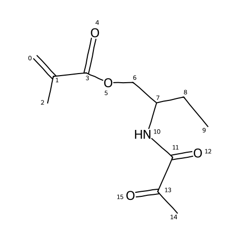 C=C(C)C(=O)OCC(CC)NC(=O)C(C)=O